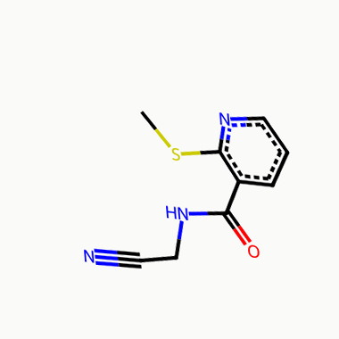 CSc1ncccc1C(=O)NCC#N